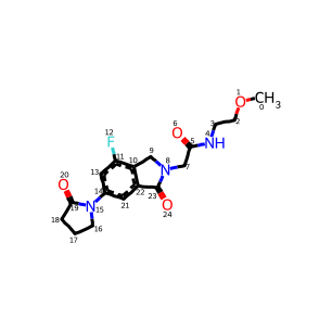 COCCNC(=O)CN1Cc2c(F)cc(N3CCCC3=O)cc2C1=O